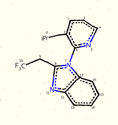 CC(C)c1cccnc1-n1c(CC(F)(F)F)nc2ccccc21